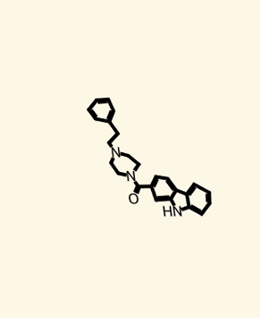 O=C(c1ccc2c(c1)[nH]c1ccccc12)N1CCN(CCc2ccccc2)CC1